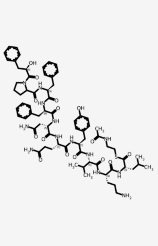 CC(=O)NCCSC(=O)[C@H](CC(C)C)NC(=O)[C@H](CCCN)NC(=O)[C@@H](NC(=O)[C@H](Cc1ccc(O)cc1)NC(=O)[C@H](CCC(N)=O)NC(=O)[C@H](CC(N)=O)NC(=O)[C@@H](Cc1ccccc1)NC(=O)[C@H](Cc1ccccc1)NC(=O)C1CCCN1C(=O)[C@H](O)Cc1ccccc1)C(C)C